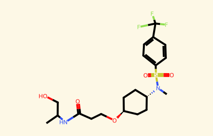 CC(CO)NC(=O)CCO[C@H]1CC[C@H](N(C)S(=O)(=O)c2ccc(C(F)(F)F)cc2)CC1